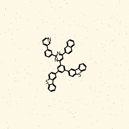 c1cncc(-c2cccc(-c3nc(-c4cc(-c5ccc6sc7ccccc7c6c5)cc(-c5ccc6sc7ccccc7c6c5)c4)cc(-c4ccc5ccccc5c4)n3)c2)c1